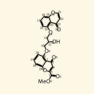 COC(=O)c1cc(=O)c2c(OCC(O)COc3cccc4occc(=O)c34)cccc2o1